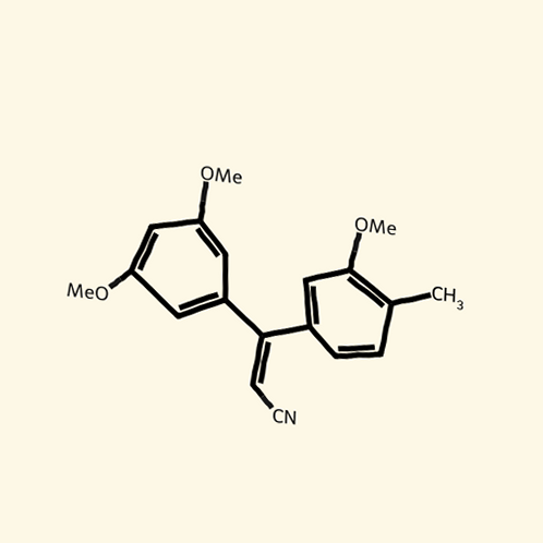 COc1cc(OC)cc(/C(=C/C#N)c2ccc(C)c(OC)c2)c1